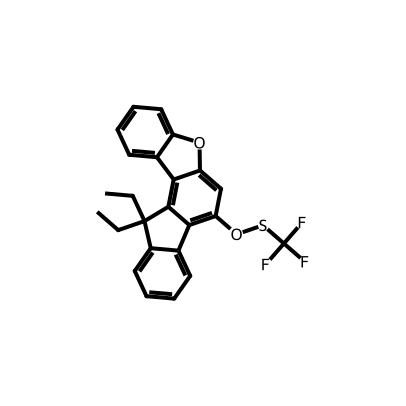 CCC1(CC)c2ccccc2-c2c(OSC(F)(F)F)cc3oc4ccccc4c3c21